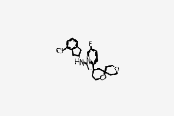 Fc1ccc([C@]2(CCN[C@H]3Cc4cccc(Cl)c4C3)CCOC3(CCOCC3)C2)nc1